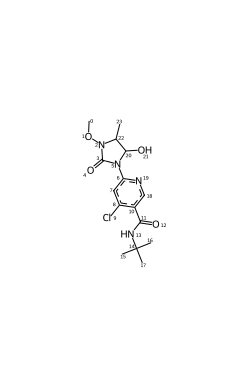 CON1C(=O)N(c2cc(Cl)c(C(=O)NC(C)(C)C)cn2)C(O)C1C